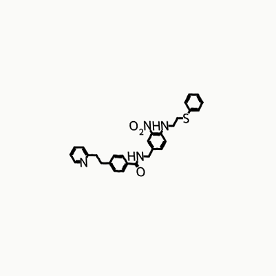 O=C(NCc1ccc(NCCSc2ccccc2)c([N+](=O)[O-])c1)c1ccc(CCc2ccccn2)cc1